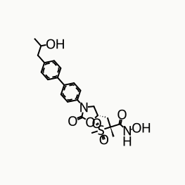 CC(O)Cc1ccc(-c2ccc(N3C[C@H](C[C@](C)(C(=O)NO)S(C)(=O)=O)OC3=O)cc2)cc1